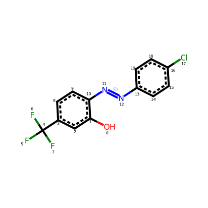 Oc1cc(C(F)(F)F)ccc1/N=N/c1ccc(Cl)cc1